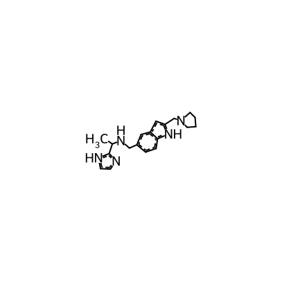 CC(NCc1ccc2[nH]c(CN3CCCC3)cc2c1)c1ncc[nH]1